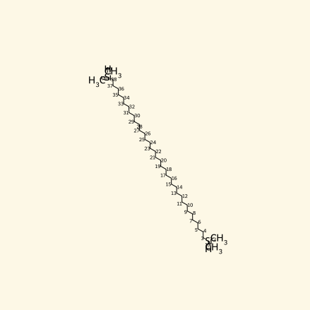 C[SiH](C)CCCCCCCCCCCCCCCCCCCCCCCCCCCCCCCCCCCC[SiH](C)C